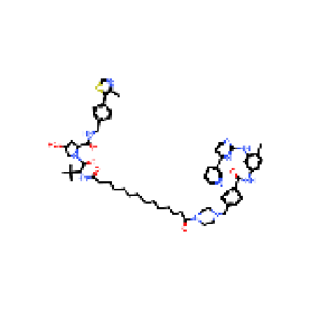 Cc1ccc(NC(=O)c2ccc(CN3CCN(C(=O)CCCCCCCCCCCCC(=O)N[C@H](C(=O)N4CC(O)CC4C(=O)NCc4ccc(-c5scnc5C)cc4)C(C)(C)C)CC3)cc2)cc1Nc1nccc(-c2cccnc2)n1